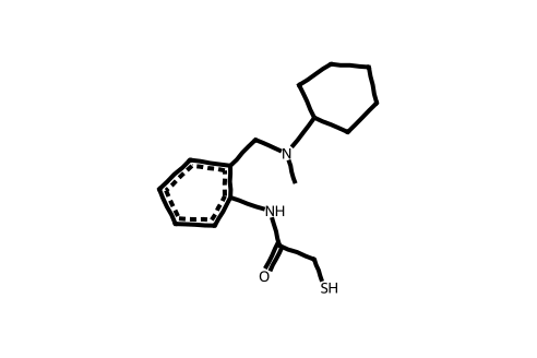 CN(Cc1ccccc1NC(=O)CS)C1CCCCC1